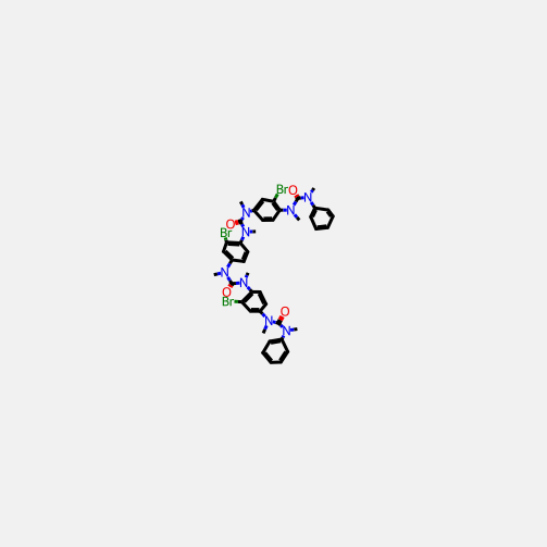 CN(C(=O)N(C)c1ccc(N(C)C(=O)N(C)c2ccc(N(C)C(=O)N(C)c3ccc(N(C)C(=O)N(C)c4ccccc4)c(Br)c3)c(Br)c2)c(Br)c1)c1ccccc1